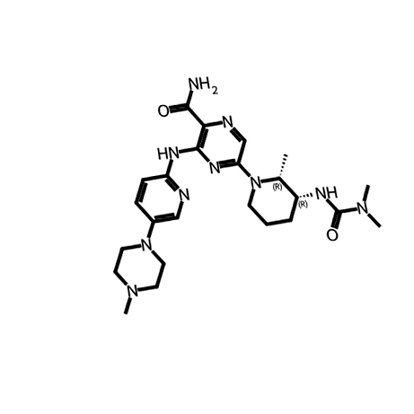 C[C@@H]1[C@H](NC(=O)N(C)C)CCCN1c1cnc(C(N)=O)c(Nc2ccc(N3CCN(C)CC3)cn2)n1